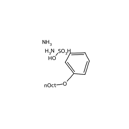 CCCCCCCCOc1ccccc1.N.N.O=S(=O)(O)O